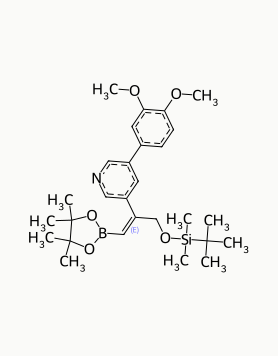 COc1ccc(-c2cncc(/C(=C\B3OC(C)(C)C(C)(C)O3)CO[Si](C)(C)C(C)(C)C)c2)cc1OC